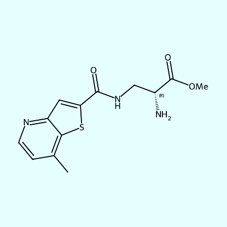 COC(=O)[C@H](N)CNC(=O)c1cc2nccc(C)c2s1